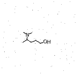 CC(CCCO)N(C)C